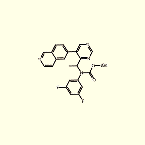 CC(c1ncncc1-c1ccc2cnccc2c1)N(C(=O)OC(C)(C)C)c1cc(F)cc(F)c1